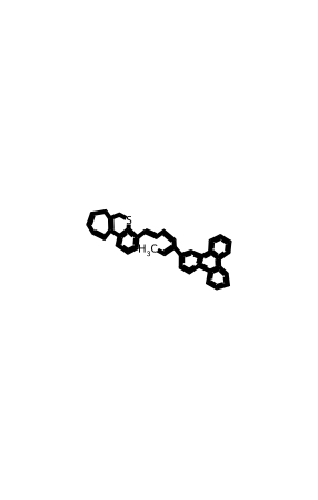 C\C=C(/C=C\C=C\c1cccc2c1SCC1=C2C=CC=CC1)c1ccc2c3ccccc3c3ccccc3c2c1